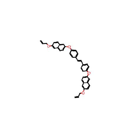 C=CCOc1ccc2cc(Oc3ccc(/C=C/c4ccc(Oc5ccc6cc(OCC=C)ccc6c5)cc4)cc3)ccc2c1